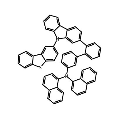 c1cc(-c2ccccc2-c2ccc3c4ccccc4n(-c4ccc5sc6ccccc6c5c4)c3c2)cc(N(c2cccc3ccccc23)c2cccc3ccccc23)c1